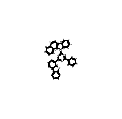 C1=CC2c3ccccc3OC2C(c2nc(-c3ccccc3)nc(-n3c4ccccc4c4ccc5ccccc5c43)n2)=C1